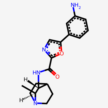 C[C@H]1[C@H](NC(=O)c2ncc(-c3cccc(N)c3)o2)C2CCN1CC2